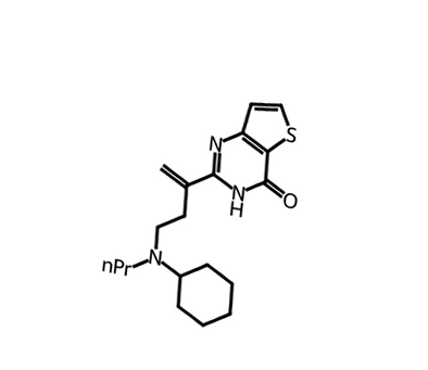 C=C(CCN(CCC)C1CCCCC1)c1nc2ccsc2c(=O)[nH]1